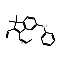 C=CC1=C(/C=C\C)c2cc(Nc3ccccc3)ccc2C1(C)C